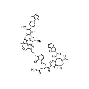 CC(=O)N1CC[C@H]2CC[C@@H](C(=O)N[C@@H](CCC(N)=O)COc3cccc(CCCc4nnn5c4COCC(C)(C)[C@H]5C(=O)N4C[C@H](O)C[C@H]4C(=O)N[C@@H](CO)c4ccc(-c5scnc5C)cc4)c3Cl)N2C(=O)[C@@H](NC(=O)c2cc3ccccc3[nH]2)C1